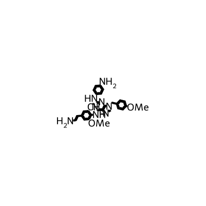 COc1ccc(Cn2cnc3c(Nc4c(C)cc(/C=C/N)cc4OC)nc(Nc4ccc(N)cc4)nc32)cc1